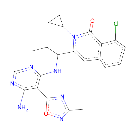 CCC(Nc1ncnc(N)c1-c1nc(C)no1)c1cc2cccc(Cl)c2c(=O)n1C1CC1